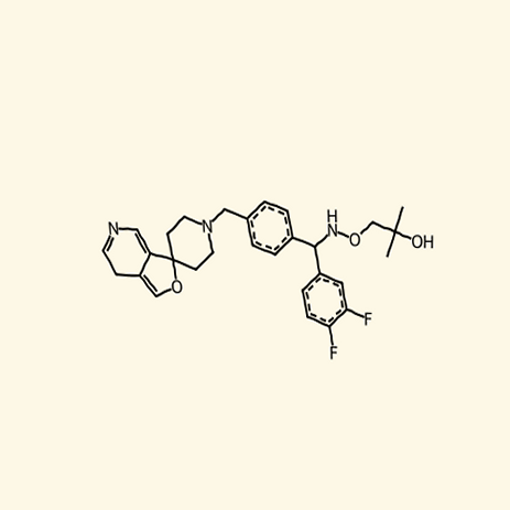 CC(C)(O)CONC(c1ccc(CN2CCC3(CC2)OC=C2CC=NC=C23)cc1)c1ccc(F)c(F)c1